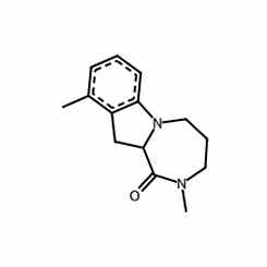 Cc1cccc2c1CC1C(=O)N(C)CCCN21